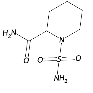 NC(=O)C1C[CH]CCN1S(N)(=O)=O